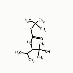 CC(C)[C@@H](NC(=O)OC(C)(C)C)C(C)(C)O